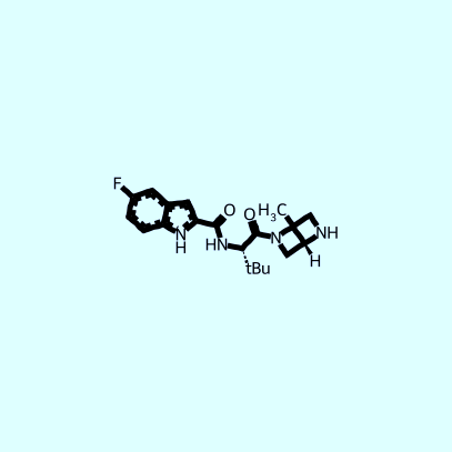 CC(C)(C)[C@H](NC(=O)c1cc2cc(F)ccc2[nH]1)C(=O)N1C[C@H]2NCC21C